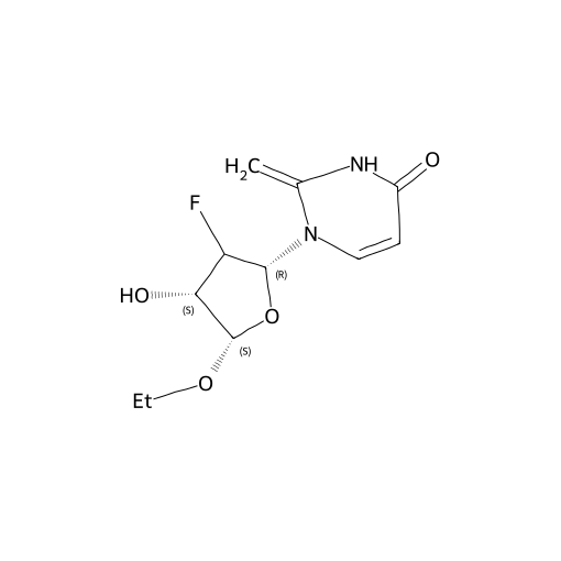 C=C1NC(=O)C=CN1[C@@H]1O[C@H](OCC)[C@H](O)C1F